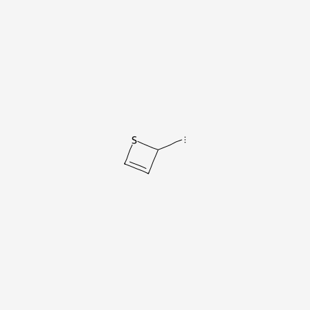 [C]C1C=CS1